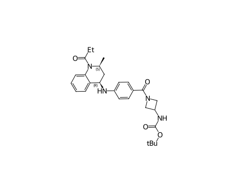 CCC(=O)N1c2ccccc2[C@H](Nc2ccc(C(=O)N3CC(NC(=O)OC(C)(C)C)C3)cc2)C[C@@H]1C